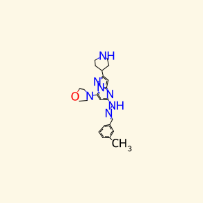 Cc1cccc(C=NNc2cc(N3CCOCC3)n3nc(C4CCNCC4)cc3n2)c1